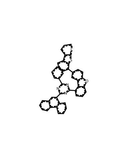 c1ccc(-c2nc(-c3cc4ccccc4c4ccccc34)nc(-c3cccc4oc5ccc(-c6cccc7c6sc6ccccc67)cc5c34)n2)cc1